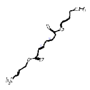 CCCCOC(=O)/C=C/C=C/C(=O)OCCCC